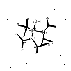 CC(C)N(C(C)C)[PH](O)(N(C(C)C)C(C)C)C(C)(C)C